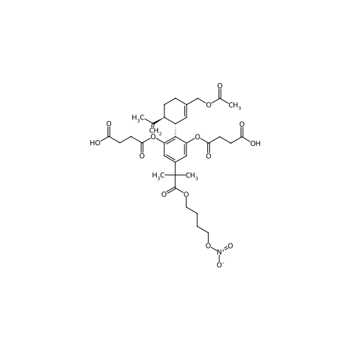 C=C(C)[C@H]1CCC(COC(C)=O)=C[C@@H]1c1c(OC(=O)CCC(=O)O)cc(C(C)(C)C(=O)OCCCCO[N+](=O)[O-])cc1OC(=O)CCC(=O)O